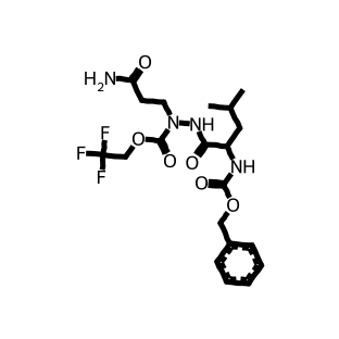 CC(C)CC(NC(=O)OCc1ccccc1)C(=O)NN(CCC(N)=O)C(=O)OCC(F)(F)F